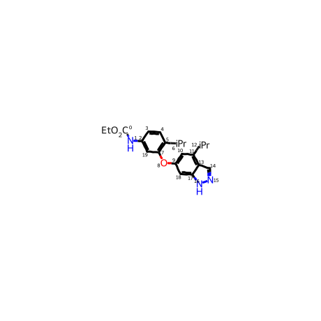 CCOC(=O)Nc1ccc(C(C)C)c(Oc2cc(C(C)C)c3cn[nH]c3c2)c1